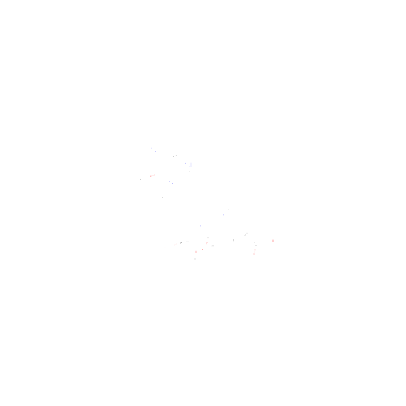 CC(C)N[C@@H](CN)C(=O)NCCCC(NC(=O)[C@@H](N)CCC(=O)O)C(=O)O